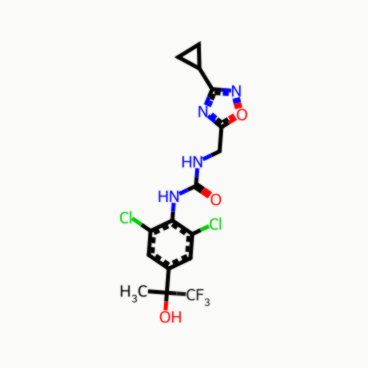 CC(O)(c1cc(Cl)c(NC(=O)NCc2nc(C3CC3)no2)c(Cl)c1)C(F)(F)F